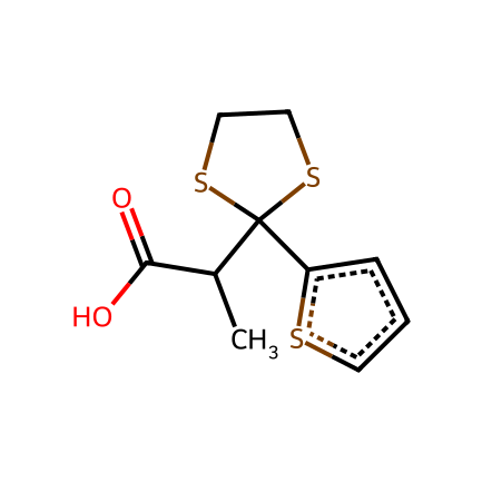 CC(C(=O)O)C1(c2cccs2)SCCS1